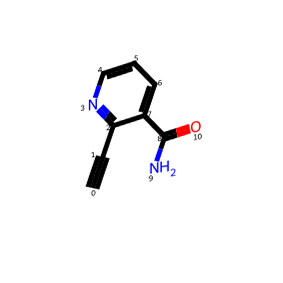 C#Cc1ncccc1C(N)=O